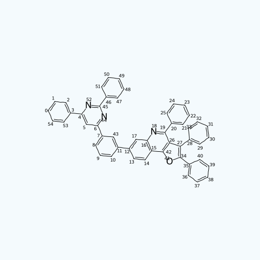 c1ccc(-c2cc(-c3cccc(-c4ccc5c(c4)nc(-c4ccccc4)c4c(-c6ccccc6)c(-c6ccccc6)oc45)c3)nc(-c3ccccc3)n2)cc1